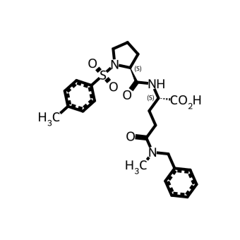 Cc1ccc(S(=O)(=O)N2CCC[C@H]2C(=O)N[C@@H](CCC(=O)N(C)Cc2ccccc2)C(=O)O)cc1